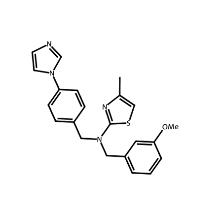 COc1cccc(CN(Cc2ccc(-n3ccnc3)cc2)c2nc(C)cs2)c1